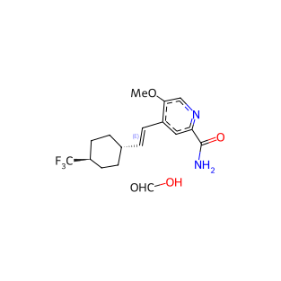 COc1cnc(C(N)=O)cc1/C=C/[C@H]1CC[C@H](C(F)(F)F)CC1.O=CO